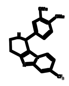 COc1ccc(C2NCCc3nc4cc(C(F)(F)F)ccn4c32)cc1OC